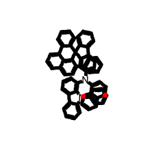 c1ccc(-c2ccc3cccc4c3c2C2(c3ccccc3-c3ccc(N(c5cccc6ccccc56)c5cccc6c7ccccc7n(-c7ccccc7)c56)cc32)c2ccccc2-4)cc1